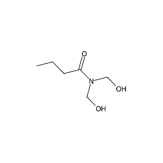 CCCC(=O)N(CO)CO